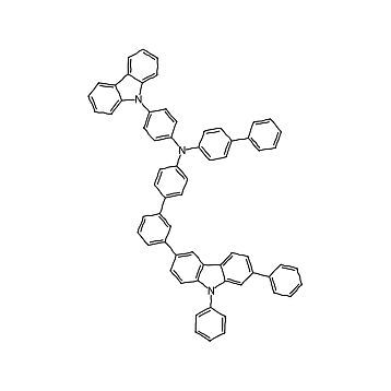 c1ccc(-c2ccc(N(c3ccc(-c4cccc(-c5ccc6c(c5)c5ccc(-c7ccccc7)cc5n6-c5ccccc5)c4)cc3)c3ccc(-n4c5ccccc5c5ccccc54)cc3)cc2)cc1